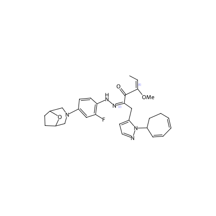 C/C=C(/OC)C(=O)/C(Cc1ccnn1C1C=CC=CCC1)=N\Nc1ccc(N2CC3CCC(C2)O3)cc1F